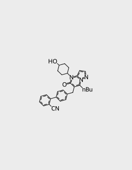 CCCCc1c(Cc2ccc(-c3ccccc3C#N)cc2)c(=O)n(C2CCC(O)CC2)c2ccnn12